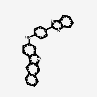 c1ccc2cc3c(cc2c1)sc1cc(Nc2ccc(-c4nc5ccccc5o4)cc2)ccc13